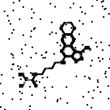 Cc1nnc2c(NCCCCNC(=O)[C@@H](O)C(C)C)nc3cc4c(cc3n12)OCCO4